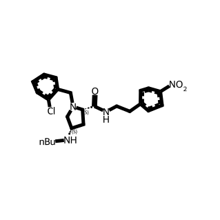 CCCCN[C@H]1C[C@@H](C(=O)NCCc2ccc([N+](=O)[O-])cc2)N(Cc2ccccc2Cl)C1